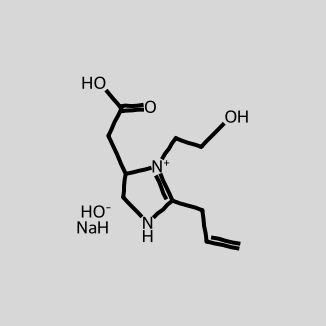 C=CCC1=[N+](CCO)C(CC(=O)O)CN1.[NaH].[OH-]